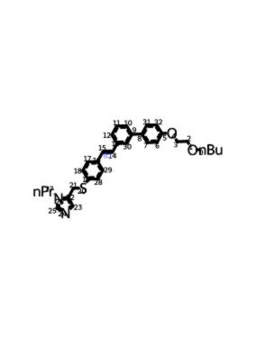 CCCCOCCOc1ccc(-c2cccc(/C=C/c3ccc(SCc4cncn4CCC)cc3)c2)cc1